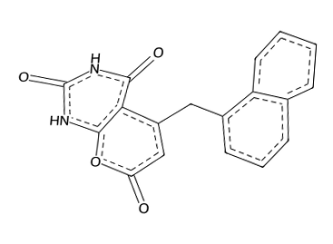 O=c1[nH]c(=O)c2c(Cc3cccc4ccccc34)cc(=O)oc2[nH]1